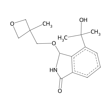 CC1(COC2NC(=O)c3cccc(C(C)(C)O)c32)COC1